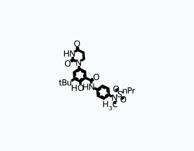 CCCS(=O)(=O)N(C)c1ccc(NC(=O)c2cc(N3CCC(=O)NC3=O)cc(C(C)(C)C)c2O)cc1